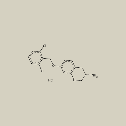 Cl.NC1COc2cc(OCc3c(Cl)cccc3Cl)ccc2C1